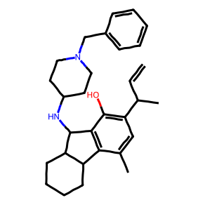 C=CC(C)c1cc(C)c2c(c1O)C(NC1CCN(Cc3ccccc3)CC1)C1CCCCC21